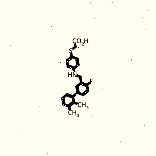 Cc1cccc(-c2ccc(F)c(CNc3ccc(SCC(=O)O)cc3)c2)c1C